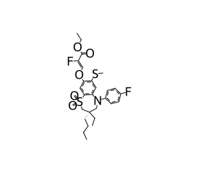 CCCC[C@@]1(CC)CN(c2ccc(F)cc2)c2cc(SC)c(O/C=C(\F)C(=O)OCC)cc2S(=O)(=O)C1